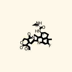 CC[C@@]1(O)C(=O)OCc2c1cc1n(c2=O)Cc2c-1nc1cc(F)c(C)c3c1c2[C@@H](NC(=O)[C@@H]1CN1)CC3